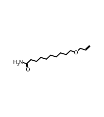 C=CCOCCCCCCCCCC(N)=O